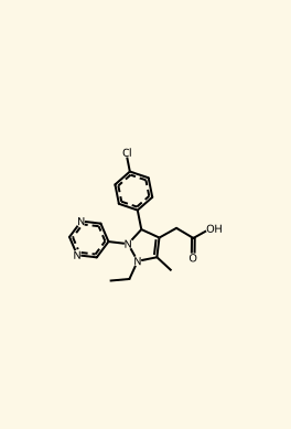 CCN1C(C)=C(CC(=O)O)C(c2ccc(Cl)cc2)N1c1cncnc1